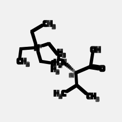 CC(C)[C@H](N)C(=O)O.CC[N+](CC)(CC)CC